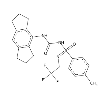 Cc1ccc(S(=O)(=NCC(F)(F)F)NC(=O)Nc2c3c(cc4c2CCC4)CCC3)cc1